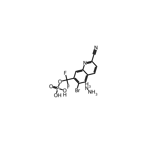 N.N.N#Cc1ccc2cc(Br)c(C(F)(F)OP(=O)(O)O)cc2n1